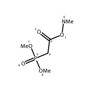 CNOC(=O)CP(=O)(OC)OC